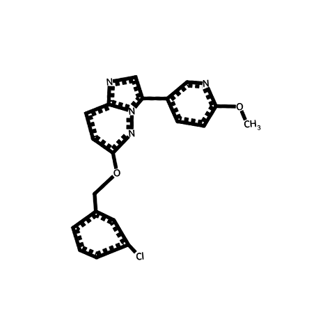 COc1ccc(-c2cnc3ccc(OCc4cccc(Cl)c4)nn23)cn1